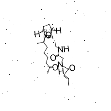 CC=CC(=O)NCC(=O)NCC[C@@H]1[C@@H](C(C)CCCCC(C)=O)[C@@H]2CC[C@H]1O2